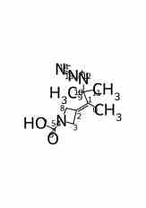 CC(=C1CN(C(=O)O)C1)C(C)(C)N=[N+]=[N-]